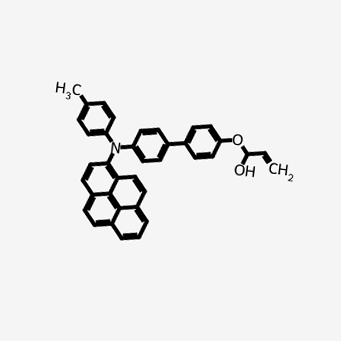 C=CC(O)Oc1ccc(-c2ccc(N(c3ccc(C)cc3)c3ccc4ccc5cccc6ccc3c4c56)cc2)cc1